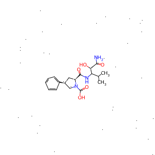 CC(C)C(NC(=O)[C@@H]1C[C@H](c2ccccc2)CN1C(=O)O)C(O)C(N)=O